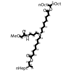 CCCCCCCCC(CCCCCCCC)OC(=O)CCCCCCCN(CCCCCCCC(=O)OC[C@@H](C)CCCCCCC)CCCNC(=O)COC